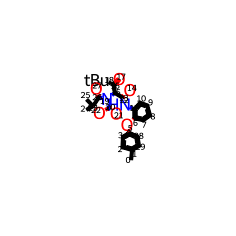 Cc1ccc(Oc2ccccc2NC(=O)C(C(=O)C(C)(C)C)N2C(=O)OC(C)(C)C2=O)cc1